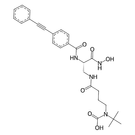 CC(C)(C)N(CCCC(=O)NC[C@H](NC(=O)c1ccc(C#Cc2ccccc2)cc1)C(=O)NO)C(=O)O